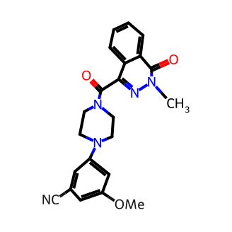 COc1cc(C#N)cc(N2CCN(C(=O)c3nn(C)c(=O)c4ccccc34)CC2)c1